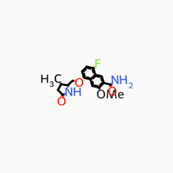 COc1cc2c(OCC3NC(=O)CC3C)ccc(F)c2cc1C(N)=O